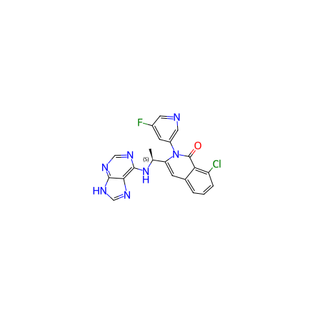 C[C@H](Nc1ncnc2[nH]cnc12)c1cc2cccc(Cl)c2c(=O)n1-c1cncc(F)c1